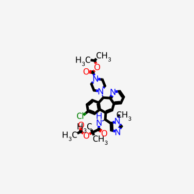 CC(=O)OC(C)(C)C(=O)N[C@H](C1=Cc2cccnc2[C@@H](N2CCN(C(=O)OC(C)C)CC2)c2ccc(Cl)cc21)c1cncn1C